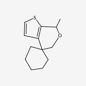 CC1OCC2(CCCCC2)c2ccsc21